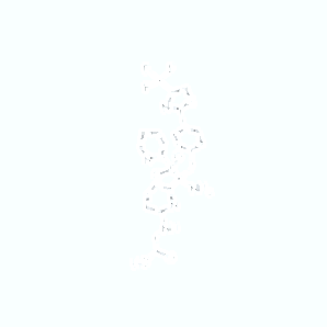 NC(Cc1ccc(-c2nc(C(F)(F)F)cs2)cc1)(c1cccc(NCC(=O)O)n1)S(=O)(=O)c1ccccn1